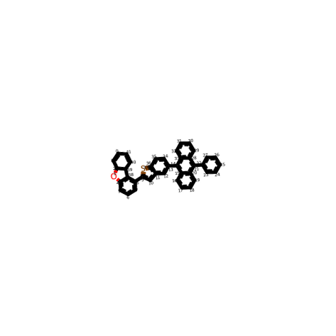 C1=CC2Oc3cccc(-c4cc5cc(-c6c7ccccc7c(-c7ccccc7)c7ccccc67)ccc5s4)c3C2C=C1